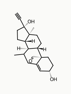 C#C[C@]1(O)CC[C@H]2[C@@H]3C(C)CC4=C[C@@H](O)CC[C@]4(C=O)[C@H]3CC[C@@]21C